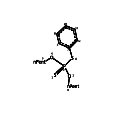 CCCCCOP(=S)(OCCCCC)Sc1ccccc1